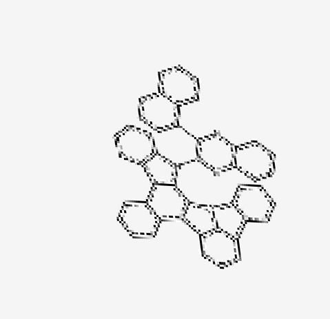 c1ccc2c(-c3nc4ccccc4nc3-n3c4ccccc4c4c5ccccc5c5c6cccc7c8ccccc8n(c76)c5c43)cccc2c1